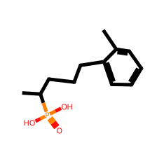 Cc1ccccc1CCCC(C)P(=O)(O)O